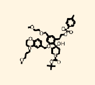 COCCCN1CCOc2ccc(CO[C@H]3CN(C(=O)OC(C)(C)C)CC[C@]3(O)c3ccc(COCCOC)cc3CCOS(=O)(=O)c3ccc(C)cc3)cc21